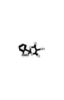 COc1ccccc1C1(OC)OC(=O)C(O)C(=O)O1